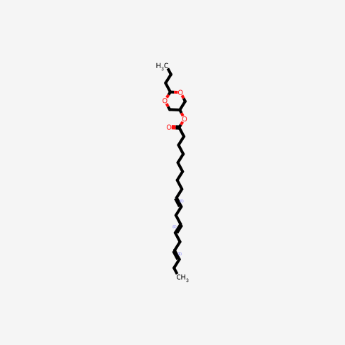 CC/C=C/C/C=C/C/C=C/CCCCCCCC(=O)OC1COC(CCC)OC1